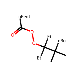 CCCCCC(=O)OOC(CC)(CC)C(C)(C)CCCC